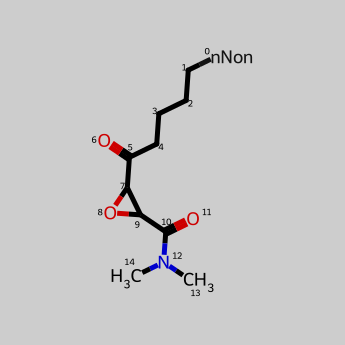 CCCCCCCCCCCCCC(=O)C1OC1C(=O)N(C)C